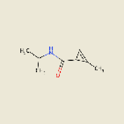 CC1=CC1C(=O)NC(C)C